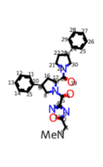 CNCc1nc(C(=O)N2C[C@@H](c3ccccc3)C[C@H]2C(=O)N2CC[C@H](c3ccccc3)C2)no1